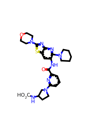 O=C(O)NC1CCN(c2cccc(C(=O)Nc3cc4sc(N5CCOCC5)nc4nc3N3CCCCC3)n2)C1